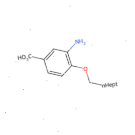 CCCCCCCCOc1ccc(C(=O)O)cc1N